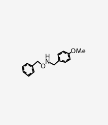 COc1ccc(CNOCc2ccccc2)cc1